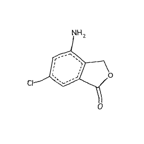 Nc1cc(Cl)cc2c1COC2=O